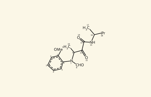 COc1ccccc1N(C=O)C(C)C(=O)C(=O)NC(C)C(C)C